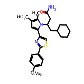 COc1ccc(-c2nc(-c3cc(C(=O)O)c(C)n3C(CC(N)=O)CC3CCCCC3)cs2)cc1